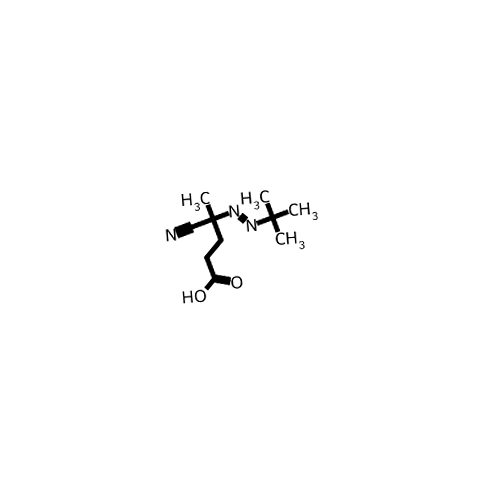 CC(C)(C)/N=N/C(C)(C#N)CCC(=O)O